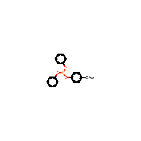 COc1ccc(OP(Oc2ccccc2)Oc2ccccc2)cc1